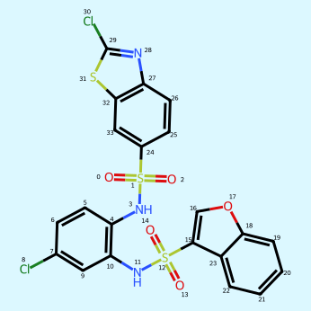 O=S(=O)(Nc1ccc(Cl)cc1NS(=O)(=O)c1coc2ccccc12)c1ccc2nc(Cl)sc2c1